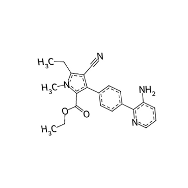 CCOC(=O)c1c(-c2ccc(-c3ncccc3N)cc2)c(C#N)c(CC)n1C